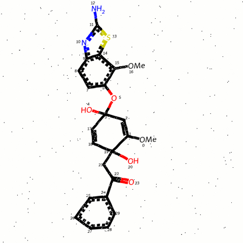 COC1=CC(O)(Oc2ccc3nc(N)sc3c2OC)C=CC1(O)CC(=O)c1ccccc1